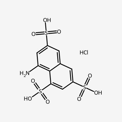 Cl.Nc1cc(S(=O)(=O)O)cc2cc(S(=O)(=O)O)cc(S(=O)(=O)O)c12